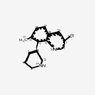 CCc1cnc2c([C@@H]3CCCNC3)c(C)ccc2c1